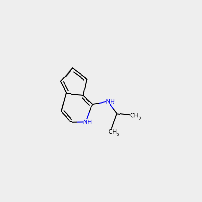 CC(C)Nc1[nH]ccc2cccc1-2